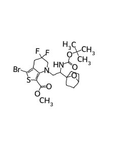 COC(=O)c1sc(Br)c2c1N(CC(NC(=O)OC(C)(C)C)C13CCC(CC1)O3)CC(F)(F)C2